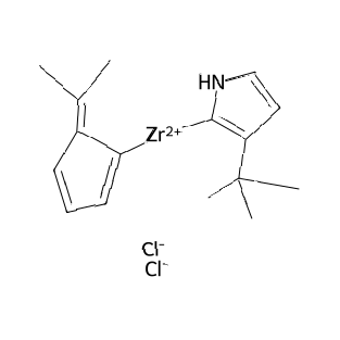 CC(C)=C1C=CC=[C]1[Zr+2][c]1[nH]ccc1C(C)(C)C.[Cl-].[Cl-]